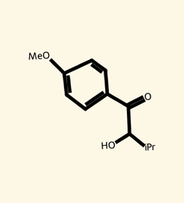 COc1ccc(C(=O)C(O)C(C)C)cc1